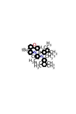 Cc1cc2c3c(c1)N(c1ccccc1C)c1c(ccc4oc5ccc(C(C)(C)C)cc5c14)B3c1cc3c(cc1N2c1cc2c(cc1C)C(C)(C)CCC2(C)C)C(C)(C)CC3(C)C